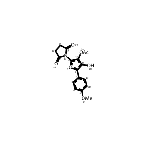 COc1ccc(-c2oc(N3C(=O)CCC3=O)c(OC(C)=O)c2O)cc1